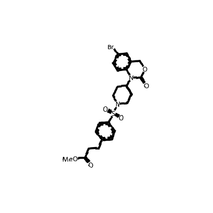 COC(=O)CCc1ccc(S(=O)(=O)N2CCC(N3C(=O)OCc4cc(Br)ccc43)CC2)cc1